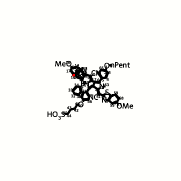 CCCCCOc1ccc(-c2c3/c(=C(\C#N)c4nc5cc(OC)ccc5s4)n(B(c4ccccc4)c4ccccc4)c(-c4ccc(OCCCCS(=O)(=O)O)cc4)c3/c(=C(\C#N)c3nc4cc(OC)ccc4s3)n2C)cc1